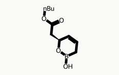 CCCCOC(=O)C[C@H]1C=CCB(O)O1